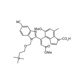 COC(=O)/C=C(\c1c(OC)cc(C)c2c1ccn2C(=O)O)c1nc2cc(C#N)ccc2n1COCC[Si](C)(C)C